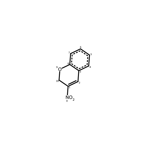 O=[N+]([O-])C1=Cc2ccccc2OC1